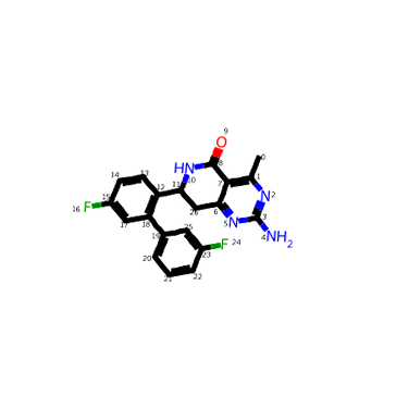 Cc1nc(N)nc2c1C(=O)NC(c1ccc(F)cc1-c1cccc(F)c1)C2